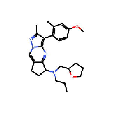 CCCN(CC1CCCO1)C1CCc2cn3nc(C)c(-c4ccc(OC)cc4C)c3nc21